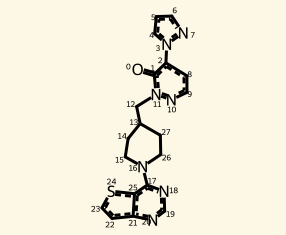 O=c1c(-n2cccn2)ccnn1CC1CCN(c2ncnc3ccsc23)CC1